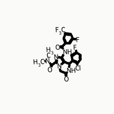 CN(C)C(=O)c1nc(NC(=O)c2cc(F)cc(C(F)(F)F)c2)c2n1CC(=O)NC2c1cc(F)ccc1Cl